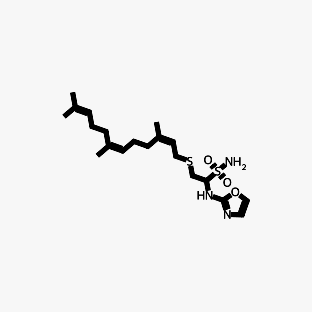 CC(C)=CCCC(C)=CCCC(C)=CCSCC(Nc1ncco1)S(N)(=O)=O